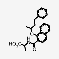 CC(CCc1ccccc1)Oc1c(C(=O)NC(C)C(=O)O)ccc2ccccc12